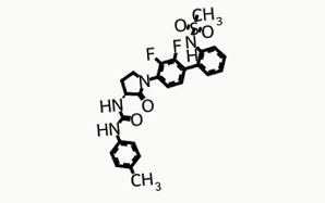 Cc1ccc(NC(=O)N[C@@H]2CCN(c3ccc(-c4ccccc4NS(C)(=O)=O)c(F)c3F)C2=O)cc1